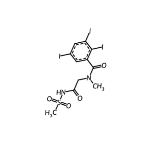 CN(CC(=O)NS(C)(=O)=O)C(=O)c1cc(I)cc(I)c1I